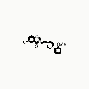 COc1ccccc1N1CCN(CCN2COc3ccc(Cl)cc3C2=O)CC1